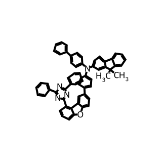 CC1(C)c2ccccc2-c2ccc(N(c3ccc(-c4ccccc4)cc3)c3ccc(-c4ccc5oc6cccc(-c7nc(-c8ccccc8)nc(-c8ccccc8)n7)c6c5c4)cc3)cc21